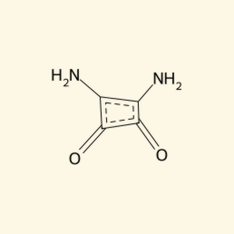 Nc1c(N)c(=O)c1=O